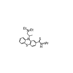 CCCNC(=S)c1ccc2c(c1)N(C(C)CN(CC)CC)c1ccccc1S2